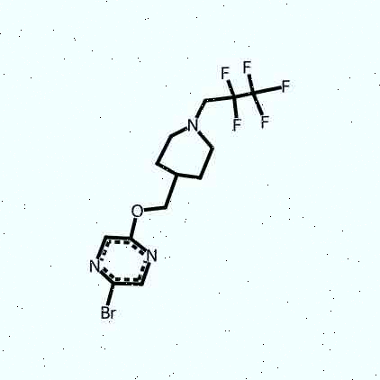 FC(F)(F)C(F)(F)CN1CCC(COc2cnc(Br)cn2)CC1